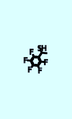 CC(S)c1c(F)c(F)c(F)c(F)c1F